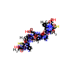 CCCN[C@@H](CC(=O)O)C(=O)NC(CS)C(=O)N[C@@H](C)C(=O)NC(Cc1c[nH]c2ccccc12)C(=O)N[C@@H](Cc1cnc[nH]1)C(=O)NC(Cc1ccc(O)cc1)C(=O)NCC(=O)NC(CCC(=O)O)C(=O)N[C@@H](CC(C)C)C(=O)NC(C(=O)N[C@@H](Cc1c[nH]c2ccccc12)C(=O)NC(CS)C(=O)N[C@H](C(N)=O)[C@@H](C)O)C(C)C